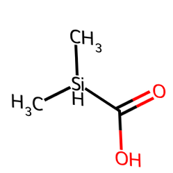 C[SiH](C)C(=O)O